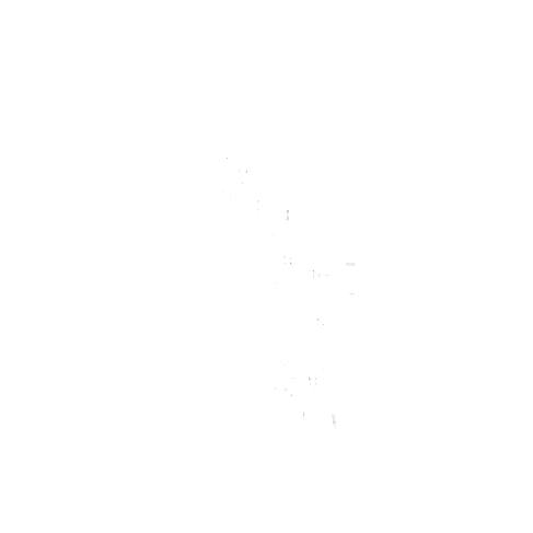 CC(C)(C)OC(=O)c1cccc(CN2CN(c3ccccc3)C3(CCN(CCCn4c(=O)[nH]c5ccc(Cl)cc54)CC3)C2=O)c1